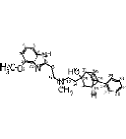 COc1cccc2[nH]c(CCN(C)CCC3(O)C[C@@H]4CCC3C=C4c3ccccc3)nc12